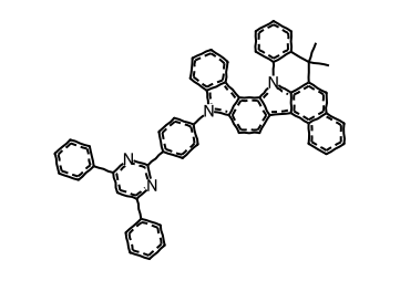 CC1(C)c2ccccc2-n2c3c1cc1ccccc1c3c1ccc3c(c4ccccc4n3-c3ccc(-c4nc(-c5ccccc5)cc(-c5ccccc5)n4)cc3)c12